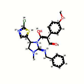 COc1ccc(/C(C=O)=C(\O)N2/C(=N/Cc3ccccc3)N(C)CC2c2cnc(Cl)s2)cc1